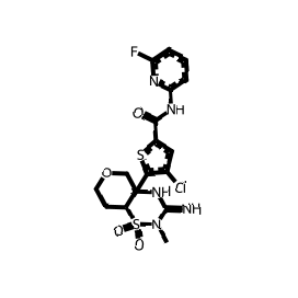 CN1C(=N)NC2(c3sc(C(=O)Nc4cccc(F)n4)cc3Cl)COCCC2S1(=O)=O